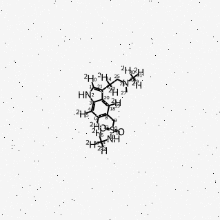 [2H]c1[nH]c2c([2H])c([2H])c(CS(=O)(=O)NC([2H])([2H])[2H])c([2H])c2c1C([2H])([2H])CN(C)C([2H])([2H])[2H]